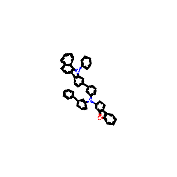 c1ccc(-c2cccc(N(c3cccc(-c4ccc5c6ccc7ccccc7c6n(-c6ccccc6)c5c4)c3)c3ccc4c(c3)oc3ccccc34)c2)cc1